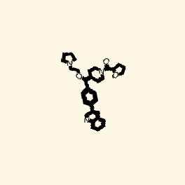 O=C(C1CCCO1)N1CCC(C(OCCN2CCCC2)c2ccc(-c3cnc4ccccc4c3)cc2)CC1